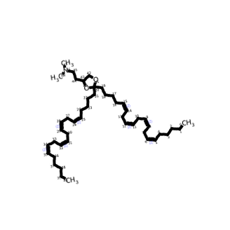 CCCCC/C=C\C/C=C\C/C=C\C/C=C\CCCCC1(CCCC/C=C\C/C=C\C/C=C\C/C=C\CCCCC)OCC(CCN(C)C)O1